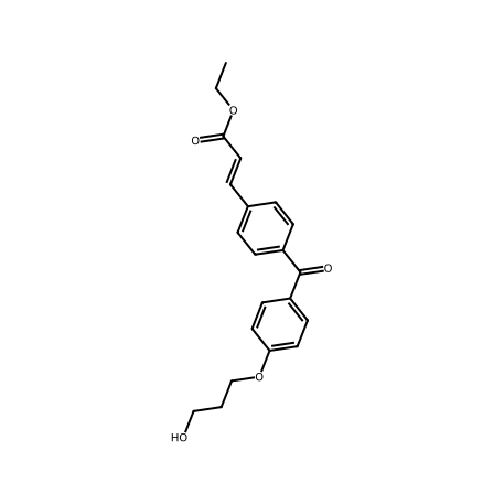 CCOC(=O)C=Cc1ccc(C(=O)c2ccc(OCCCO)cc2)cc1